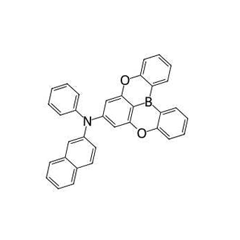 c1ccc(N(c2cc3c4c(c2)Oc2ccccc2B4c2ccccc2O3)c2ccc3ccccc3c2)cc1